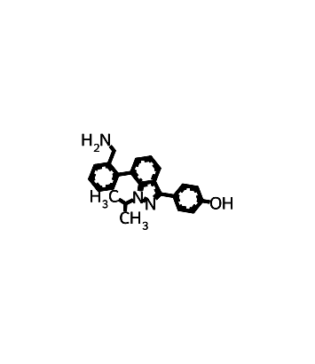 CC(C)n1nc(-c2ccc(O)cc2)c2cccc(-c3ccccc3CN)c21